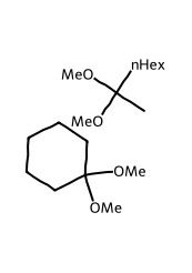 CCCCCCC(C)(OC)OC.COC1(OC)CCCCC1